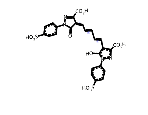 O=C(O)C1=NN(c2ccc(S(=O)(=O)O)cc2)C(=O)\C1=C/C=C/C=C/c1c(C(=O)O)nn(-c2ccc(S(=O)(=O)O)cc2)c1O